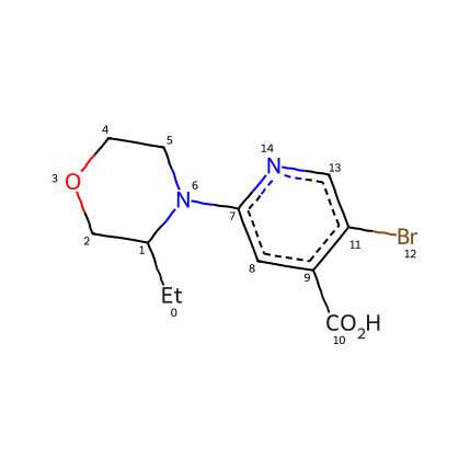 CCC1COCCN1c1cc(C(=O)O)c(Br)cn1